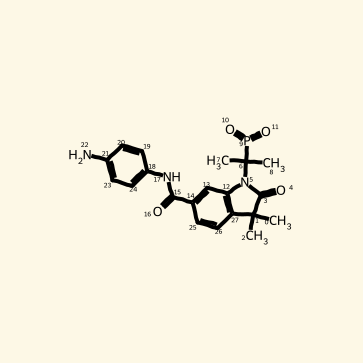 CC1(C)C(=O)N(C(C)(C)P(=O)=O)c2cc(C(=O)Nc3ccc(N)cc3)ccc21